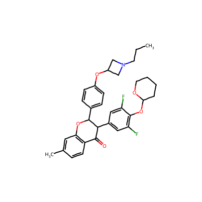 CCCN1CC(Oc2ccc(C3Oc4cc(C)ccc4C(=O)C3c3cc(F)c(OC4CCCCO4)c(F)c3)cc2)C1